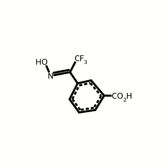 O=C(O)c1cccc(/C(=N/O)C(F)(F)F)c1